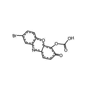 O=C(O)Oc1c2oc3ccc(Br)cc3nc-2ccc1=O